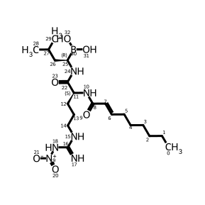 CCCCCCC=CC(=O)N[C@@H](CCCNC(=N)N[N+](=O)[O-])C(=O)N[C@@H](CC(C)C)B(O)O